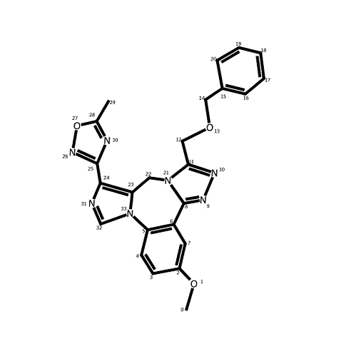 COc1ccc2c(c1)-c1nnc(COCc3ccccc3)n1Cc1c(-c3noc(C)n3)ncn1-2